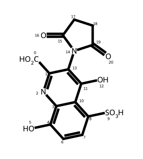 O=C(O)c1nc2c(O)ccc(S(=O)(=O)O)c2c(O)c1N1C(=O)CCC1=O